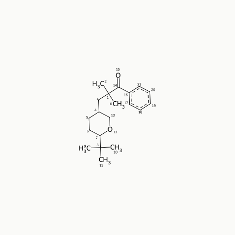 CC(C)(CC1CCC(C(C)(C)C)OC1)C(=O)c1ccccc1